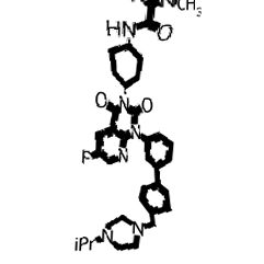 CC(C)N1CCN(Cc2ccc(-c3cccc(-n4c(=O)n([C@H]5CC[C@@H](NC(=O)c6nccn6C)CC5)c(=O)c5cc(F)cnc54)c3)cc2)CC1